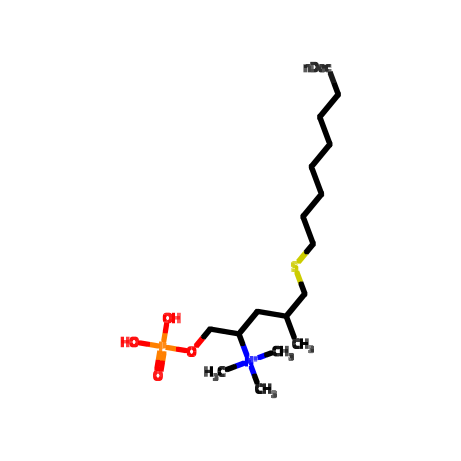 CCCCCCCCCCCCCCCCCSCC(C)CC(COP(=O)(O)O)[N+](C)(C)C